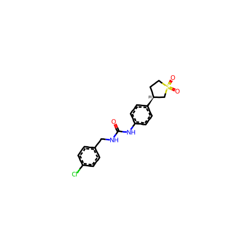 O=C(NCc1ccc(Cl)cc1)Nc1ccc([C@H]2CCS(=O)(=O)C2)cc1